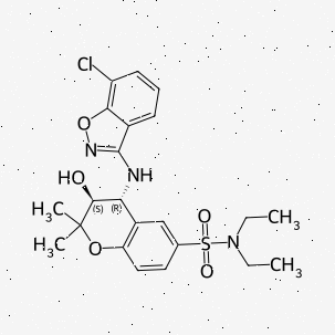 CCN(CC)S(=O)(=O)c1ccc2c(c1)[C@@H](Nc1noc3c(Cl)cccc13)[C@H](O)C(C)(C)O2